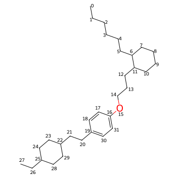 CCCCCCC1CCCCC1CCCOc1ccc(CCC2CCC(CC)CC2)cc1